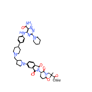 COC(=O)C(C)(C)CN1C(=O)CCC(N2C(=O)c3ccc(N4CCC(CN5CCC(c6ccc(Nc7nc(N8CCCCC8)nnc7C(N)=O)cc6)CC5)C4)cc3C2=O)C1=O